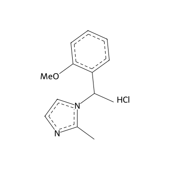 COc1ccccc1C(C)n1ccnc1C.Cl